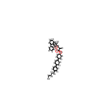 C=C(CO[Si](c1ccccc1)(c1ccccc1)C(C)(C)C)C(=O)OC1CCC(C2CCC(c3ccc(CCCCC)cc3)CC2)CC1